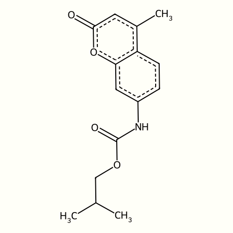 Cc1cc(=O)oc2cc(NC(=O)OCC(C)C)ccc12